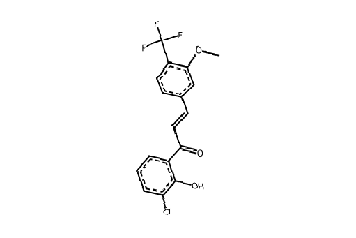 COc1cc(/C=C/C(=O)c2cccc(Cl)c2O)ccc1C(F)(F)F